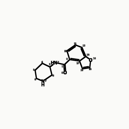 O=C(NC1CCCNC1)c1cccc2occc12